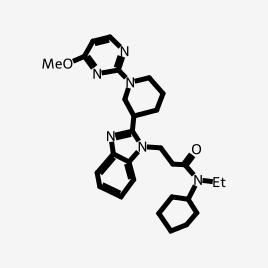 CCN(C(=O)CCn1c(C2CCCN(c3nccc(OC)n3)C2)nc2ccccc21)C1CCCCC1